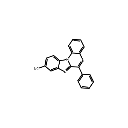 N#Cc1ccc2c(c1)nc1c(-c3ccccc3)nc3ccccc3n12